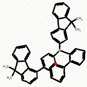 CC1(C)c2ccccc2-c2ccc(N(c3ccc(-c4cccc5c4-c4ccccc4C5(C)C)cc3)c3ccccc3-c3ccccc3)cc21